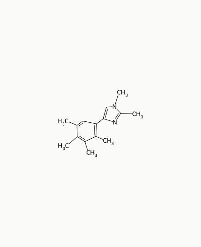 Cc1cc(-c2cn(C)c(C)n2)c(C)c(C)c1C